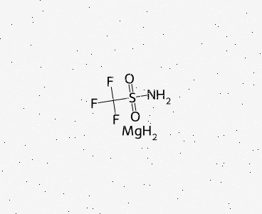 NS(=O)(=O)C(F)(F)F.[MgH2]